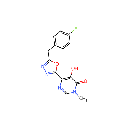 Cn1cnc(-c2nnc(Cc3ccc(F)cc3)o2)c(O)c1=O